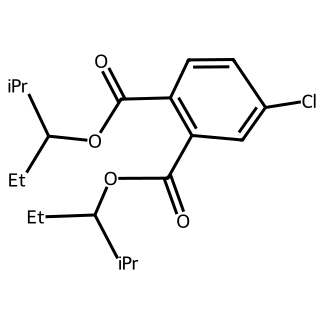 CCC(OC(=O)c1ccc(Cl)cc1C(=O)OC(CC)C(C)C)C(C)C